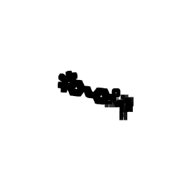 CC1C(C)(C)c2ccc(C=Cc3ccc(C(=O)Nc4nnn[nH]4)cc3)cc2C1(C)C